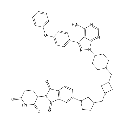 Nc1ncnc2c1c(-c1ccc(Oc3ccccc3)cc1)nn2C1CCN(CC2CN(CC3CCN(c4ccc5c(c4)C(=O)N(C4CCC(=O)NC4=O)C5=O)C3)C2)CC1